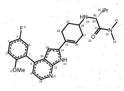 COc1ccc(F)cc1-c1ccnc2[nH]c(C3=CCC(N[C@@H](C(=O)N(C)C)C(C)C)CC3)cc12